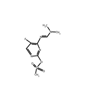 CN(C)/C=N/c1nc(OS(C)(=O)=O)ncc1F